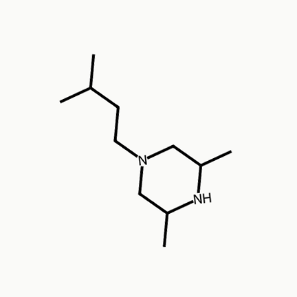 CC(C)CCN1CC(C)NC(C)C1